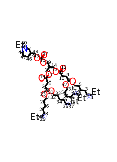 CC/C=C\CCCCOC(CCC(=O)OCC(COC(=O)CCC(OCCCC/C=C\CC)OCCCC/C=C\CC)COC(=O)OCC1CCCN(CC)C1)OCCCC/C=C\CC